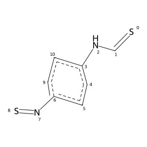 S=CNc1ccc(N=S)cc1